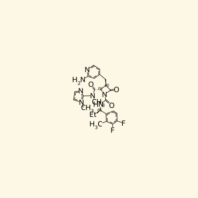 CC[C@@H](NC(=O)N1C(=O)[C@H](Cc2ccnc(N)c2)[C@H]1C(=O)N(C)c1nccn1C)c1ccc(F)c(F)c1C